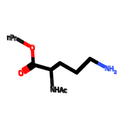 CCCOC(=O)C(CCCN)NC(C)=O